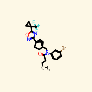 CCCC(=O)N(CC12CCC(c3noc(C4(C(F)(F)F)CC4)n3)(CC1)C2)c1cccc(Br)c1